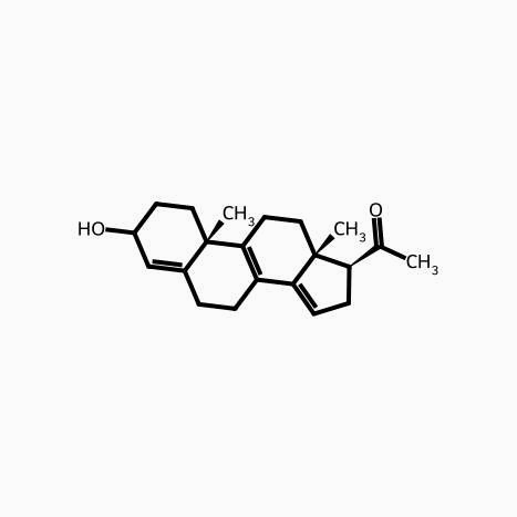 CC(=O)[C@H]1CC=C2C3=C(CC[C@@]21C)[C@@]1(C)CCC(O)C=C1CC3